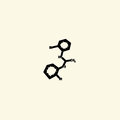 CCc1ccccc1PC(C)Pc1ccccc1CC